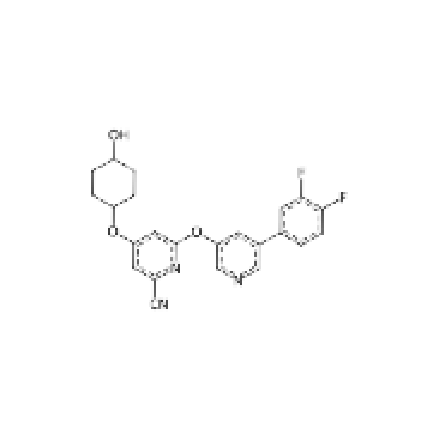 N#Cc1cc(OC2CCC(O)CC2)cc(Oc2cncc(-c3ccc(F)c(F)c3)c2)n1